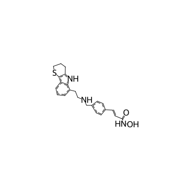 O=C(/C=C/c1ccc(CNCCc2cccc3c4c([nH]c23)CCCS4)cc1)NO